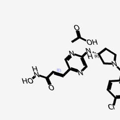 CC(=O)O.O=C(/C=C/c1cnc(N[C@@H]2CCN(Cc3ccc(Cl)cc3)C2)cn1)NO